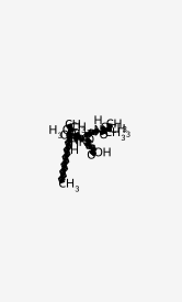 CCCCCCCCCCCCC(NC(=O)[C@H](CCCCNC(=O)OC(C)(C)C)NC(=O)CCC(=O)O)C(=O)OC(C)(C)C